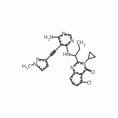 CCC(Nc1ncnc(N)c1C#Cc1ccn(C)n1)c1nc2cccc(Cl)c2c(=O)n1C1CC1